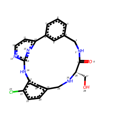 O=C1NCc2cccc(c2)-c2ccnc(n2)Nc2cc(ccc2Cl)CN[C@H]1CO